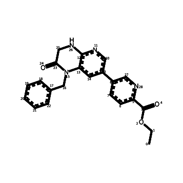 CCOC(=O)c1ccc(-c2cnc3c(c2)N(Cc2ccccc2)C(=O)CN3)cn1